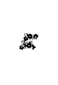 O=C(N[C@H](CN1CCCC1)[C@H](O)c1ccc(OC2CC2)c(Cl)c1)[C@@H]1CCN(c2cc(Oc3ccccn3)ccc2Cl)C1